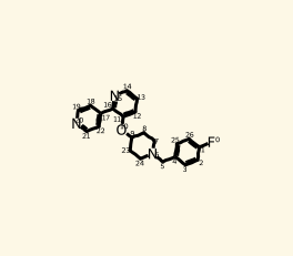 Fc1ccc(CN2CCC(Oc3cccnc3-c3ccncc3)CC2)cc1